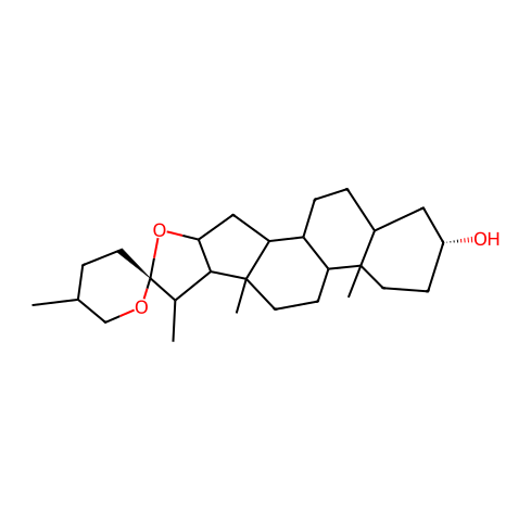 CC1CC[C@@]2(OC1)OC1CC3C4CCC5C[C@H](O)CCC5(C)C4CCC3(C)C1C2C